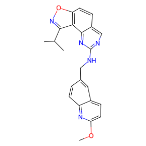 COc1ccc2cc(CNc3ncc4ccc5onc(C(C)C)c5c4n3)ccc2n1